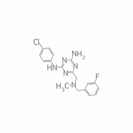 CN(Cc1cccc(F)c1)Cc1nc(N)nc(Nc2ccc(Cl)cc2)n1